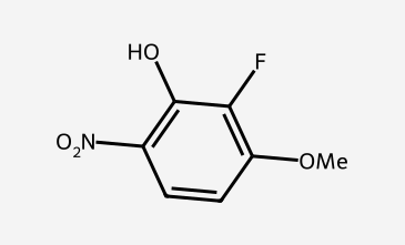 COc1ccc([N+](=O)[O-])c(O)c1F